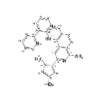 Cc1ccc2c(N)nc(-c3cc(C(C)(C)C)nn3C)cc2c1Nc1ncccc1-c1ccncn1